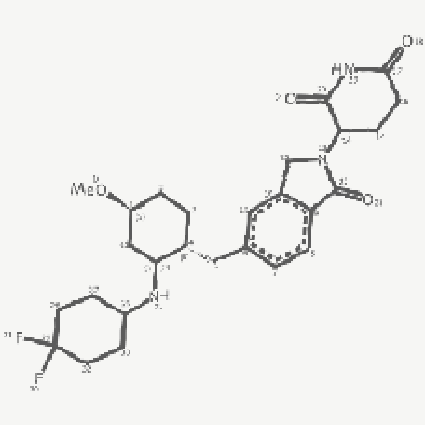 CO[C@H]1CC[C@H](Cc2ccc3c(c2)CN(C2CCC(=O)NC2=O)C3=O)[C@@H](NC2CCC(F)(F)CC2)C1